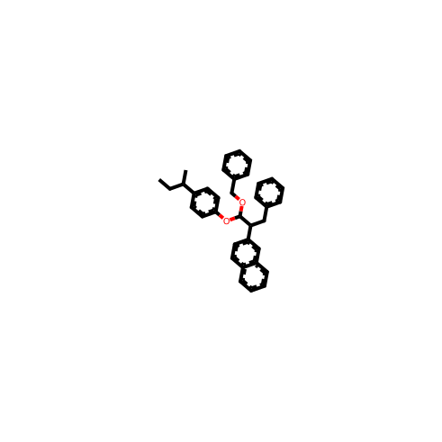 CCC(C)c1ccc(OC(OCc2ccccc2)C(Cc2ccccc2)c2ccc3ccccc3c2)cc1